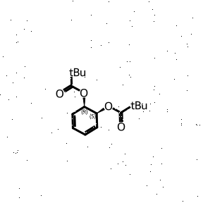 CC(C)(C)C(=O)O[C@H]1C=CC=C[C@H]1OC(=O)C(C)(C)C